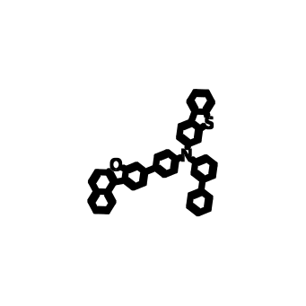 c1ccc(-c2cccc(N(c3ccc(-c4ccc5c(c4)oc4ccc6ccccc6c45)cc3)c3ccc4c(c3)sc3ccccc34)c2)cc1